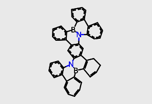 C1=CC=CC=C2B3C4=C(CCC=C4)c4cc5c(cc4N3c3ccccc3C=12)-c1ccccc1B1c2ccccc2-c2ccccc2N15